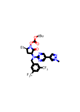 CC[C@@H]1CC(N(Cc2cc(C(F)(F)F)cc(C(F)(F)F)c2)c2ncc(-c3cnn(C)c3)cn2)C(=O)N1OC(=O)OC(C)(C)C